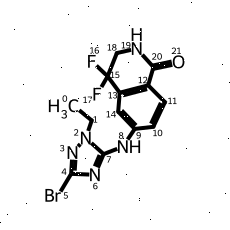 CCn1nc(Br)nc1Nc1ccc2c(c1)C(F)(F)CNC2=O